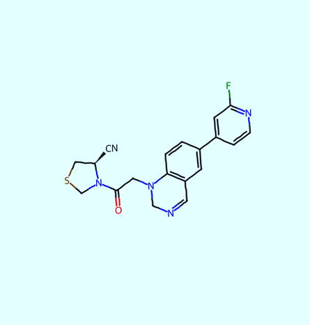 N#C[C@@H]1CSCN1C(=O)CN1CN=Cc2cc(-c3ccnc(F)c3)ccc21